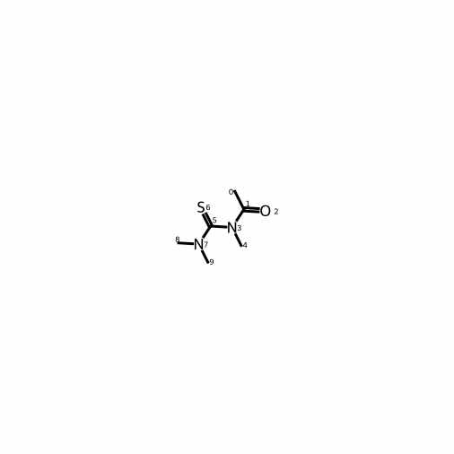 CC(=O)N(C)C(=S)N(C)C